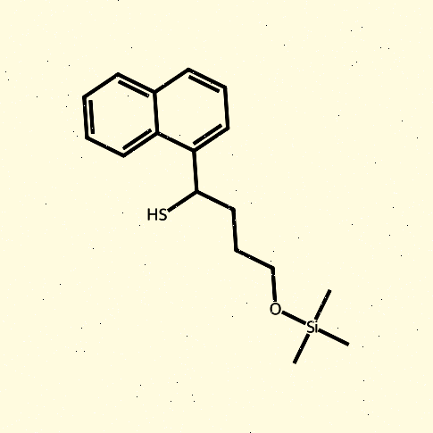 C[Si](C)(C)OCCCC(S)c1cccc2ccccc12